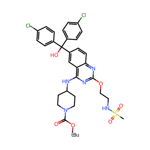 CC(C)(C)OC(=O)N1CCC(Nc2nc(OCCNS(C)(=O)=O)nc3ccc(C(O)(c4ccc(Cl)cc4)c4ccc(Cl)cc4)cc23)CC1